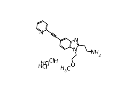 COCCn1c(CCN)nc2cc(C#Cc3ccccn3)ccc21.Cl.Cl.Cl